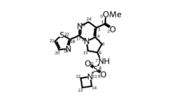 COC(=O)C1=C2CC(NS(=O)(=O)N3CCC3)CN2C(c2nccs2)=NC1